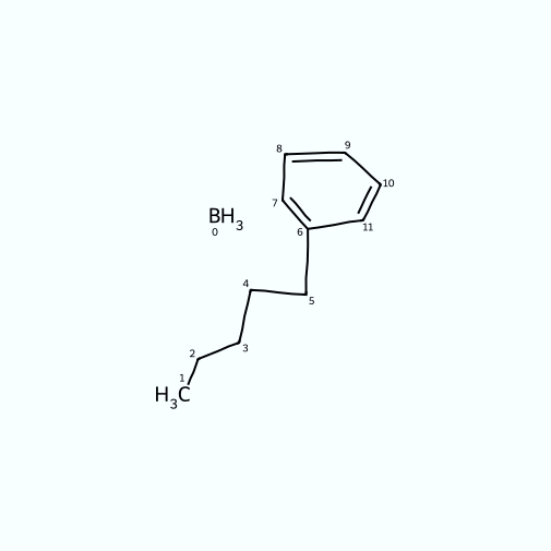 B.CCCCCc1ccccc1